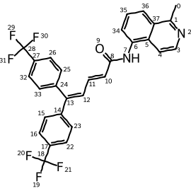 Cc1nccc2c(NC(=O)C=CC=C(c3ccc(C(F)(F)F)cc3)c3ccc(C(F)(F)F)cc3)cccc12